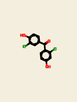 O=C(c1ccc(O)c(Cl)c1)c1ccc(O)cc1Cl